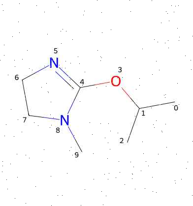 CC(C)OC1=NCCN1C